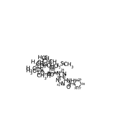 CSCO[C@@H]1[C@@H]2O[Si](C(C)C)(C(C)C)O[Si](C(C)C)(C(C)C)OC[C@H]2O[C@H]1n1cnc2c(NC(=O)c3ccccc3)ncnc21